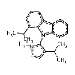 CC(C)c1ccn(C)c1-n1c2ccccc2c2cccc(C(C)C)c21